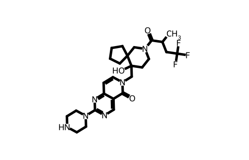 CC(CC(F)(F)F)C(=O)N1CCC(O)(Cn2ccc3nc(N4CCNCC4)ncc3c2=O)C2(CCCC2)C1